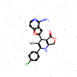 N#CC1=C(c2ccc(Cl)cc2)NC2=C(C(=O)OC2)C1c1cc2c(N)nccc2o1